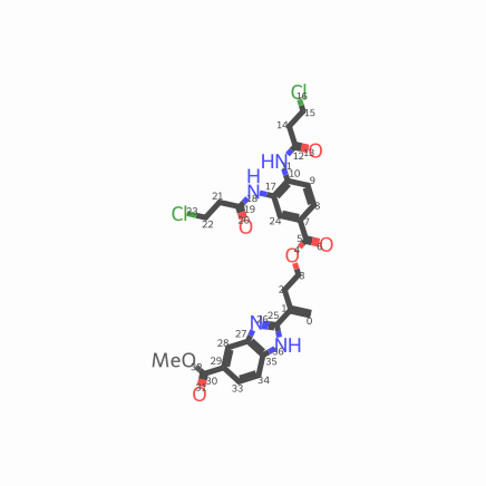 C=C(CCOC(=O)c1ccc(NC(=O)CCCl)c(NC(=O)CCCl)c1)c1nc2cc(C(=O)OC)ccc2[nH]1